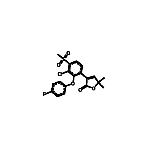 CC1(C)C=C(c2ccc(S(C)(=O)=O)c(Cl)c2Oc2ccc(F)cc2)C(=O)O1